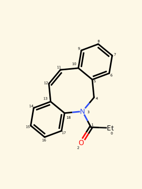 CCC(=O)N1Cc2ccccc2/C=C\c2ccccc21